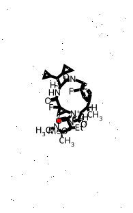 CCC(OC)C(=O)[N+]1(C)C2CC2(F)C(=O)N[C@@H](C(C2CC2)C2CC2)C(=O)Nc2ccc(cc2F)[C@H](C)[C@@H]1C(=O)N1CCN(C)[C@H](C)C1